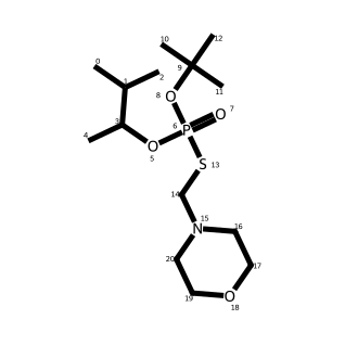 CC(C)C(C)OP(=O)(OC(C)(C)C)SCN1CCOCC1